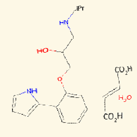 CC(C)NCC(O)COc1ccccc1-c1ccc[nH]1.O.O=C(O)/C=C/C(=O)O